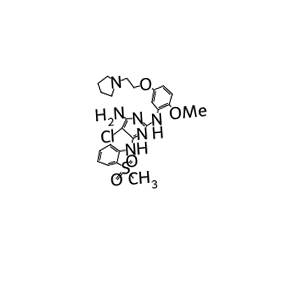 COc1ccc(OCCN2CCCC2)cc1Nc1nc(N)c(Cl)c(Nc2ccccc2S(C)(=O)=O)n1